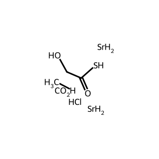 CC(=O)O.Cl.O=C(S)CO.[SrH2].[SrH2]